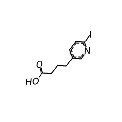 O=C(O)CCCc1ccc(I)nc1